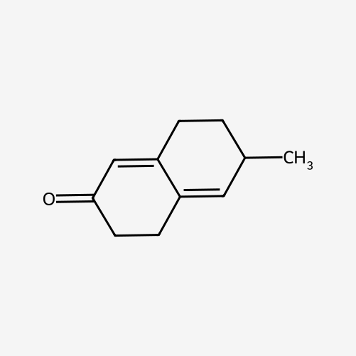 CC1C=C2CCC(=O)C=C2CC1